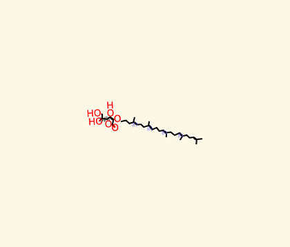 CC(C)=CCC/C(C)=C/CC/C(C)=C/CC/C=C(\C)CC/C=C(\C)CCCOC1=C(O)[C@@H]([C@@H](O)CO)OC1=O